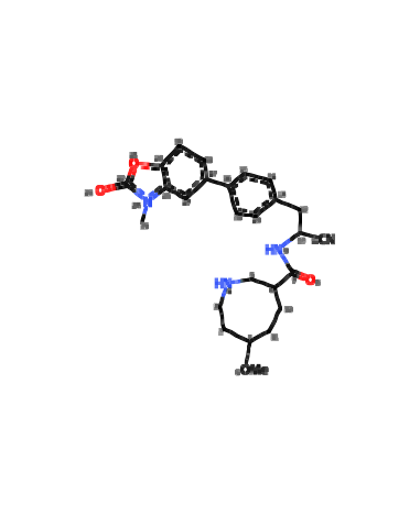 COC1CCNCC(C(=O)NC(C#N)Cc2ccc(-c3ccc4oc(=O)n(C)c4c3)cc2)CC1